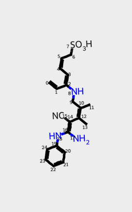 C=C/C(=C\C=C/CS(=O)(=O)O)NC/C(C)=C(C)\C(C#N)=C(/N)Nc1ccccc1